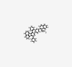 Nc1c(-c2ccc(-c3cc(-c4ccccc4)c4c(c3-c3ccccc3)-c3cccc5cccc-4c35)cc2)ccc2ccccc12